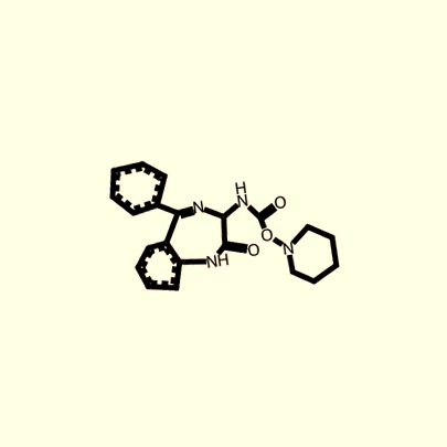 O=C(NC1N=C(c2ccccc2)c2ccccc2NC1=O)ON1CCCCC1